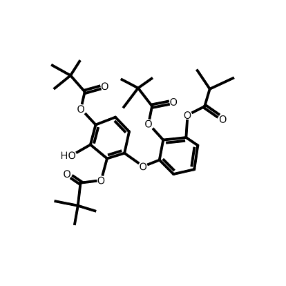 CC(C)C(=O)Oc1cccc(Oc2ccc(OC(=O)C(C)(C)C)c(O)c2OC(=O)C(C)(C)C)c1OC(=O)C(C)(C)C